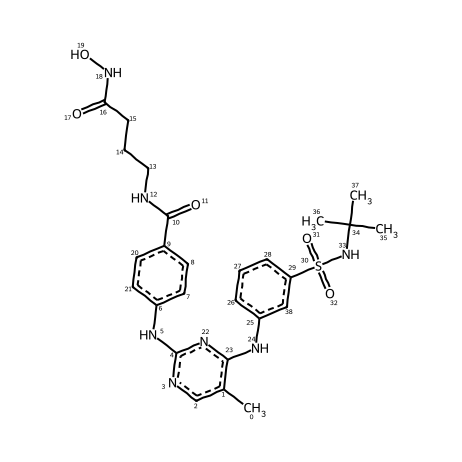 Cc1cnc(Nc2ccc(C(=O)NCCCC(=O)NO)cc2)nc1Nc1cccc(S(=O)(=O)NC(C)(C)C)c1